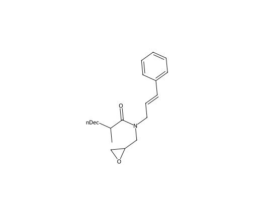 CCCCCCCCCCC(C)C(=O)N(CC=Cc1ccccc1)CC1CO1